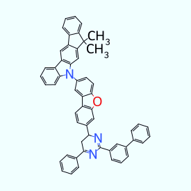 CC1(C)c2ccccc2-c2cc3c4ccccc4n(-c4ccc5oc6cc(C7CC(c8ccccc8)=NC(c8cccc(-c9ccccc9)c8)=N7)ccc6c5c4)c3cc21